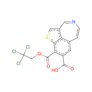 O=C(O)c1cc2c3c(csc3c1C(=O)OCC(Cl)(Cl)Cl)C=NC=C2